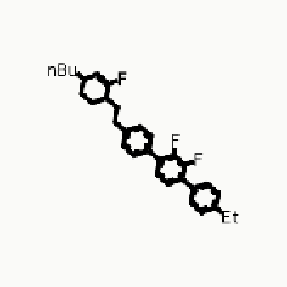 CCCCC1C=C(F)C(CCc2ccc(-c3ccc(-c4ccc(CC)cc4)c(F)c3F)cc2)CC1